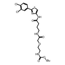 CC(C)(C)OC(=O)NCCOCC(=O)NCCCC(=O)Nc1csc(-c2ccc(Cl)c(Cl)c2)n1